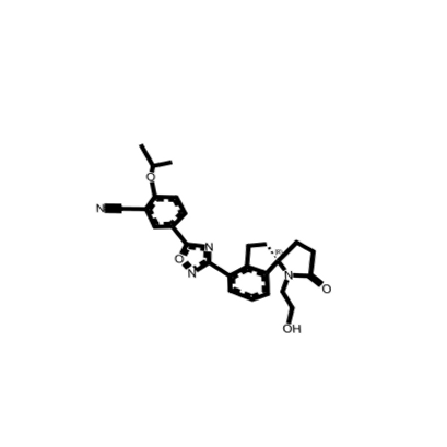 CC(C)Oc1ccc(-c2nc(-c3cccc4c3CC[C@@]43CCC(=O)N3CCO)no2)cc1C#N